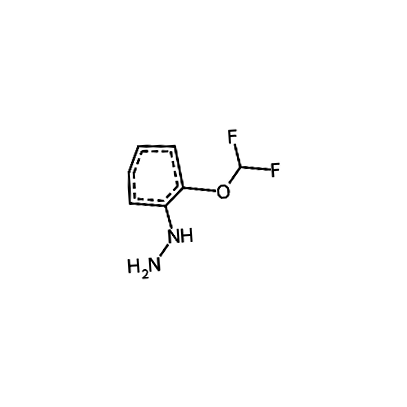 NNc1ccccc1OC(F)F